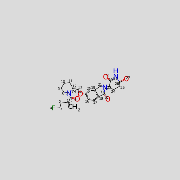 C=C(CCF)C(=O)N1CCCC[C@H]1COc1ccc2c(c1)CN(C1CCC(=O)NC1=O)C2=O